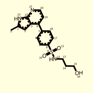 Cc1cc2c(-c3ccc(S(=O)(=O)NCCCO)cc3)ccnc2[nH]1